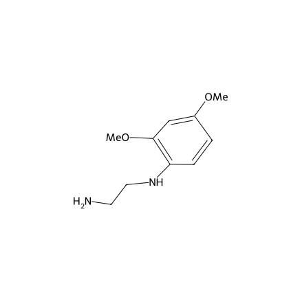 COc1ccc(NCCN)c(OC)c1